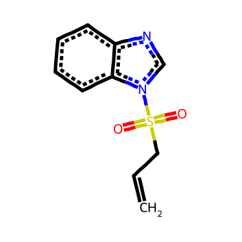 C=CCS(=O)(=O)n1cnc2ccccc21